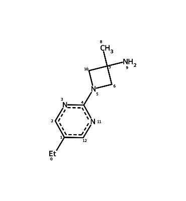 CCc1cnc(N2CC(C)(N)C2)nc1